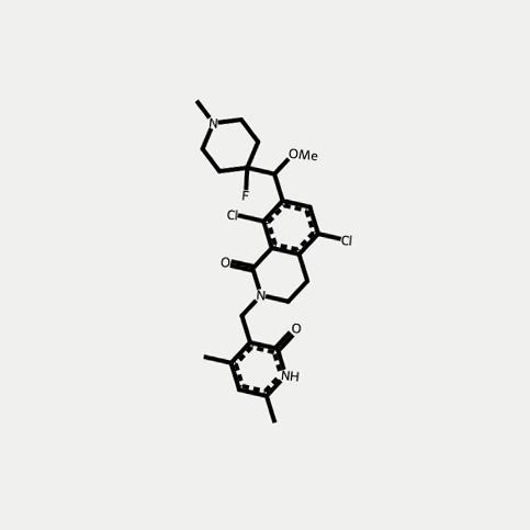 COC(c1cc(Cl)c2c(c1Cl)C(=O)N(Cc1c(C)cc(C)[nH]c1=O)CC2)C1(F)CCN(C)CC1